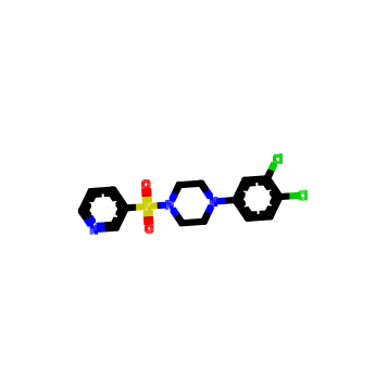 O=S(=O)(c1cccnc1)N1CCN(c2ccc(Cl)c(Cl)c2)CC1